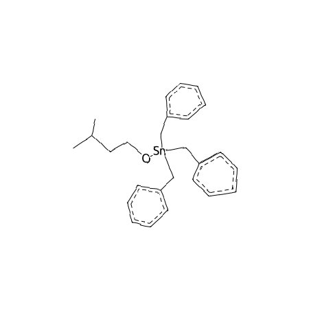 CC(C)CC[O][Sn]([CH2]c1ccccc1)([CH2]c1ccccc1)[CH2]c1ccccc1